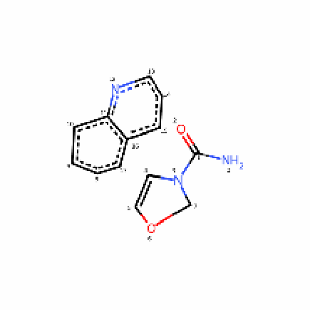 NC(=O)N1C=COC1.c1ccc2ncccc2c1